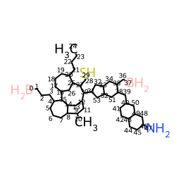 BCCCC1CCCC2C(C)CC3CC2C1C1CCCC(CCCC)C(C1)C(CS)C3C1CC2CC(CB)C(CC3CCC4CCC(N)CC4C3)CC2C1